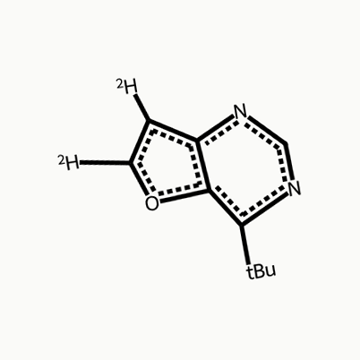 [2H]c1oc2c(C(C)(C)C)ncnc2c1[2H]